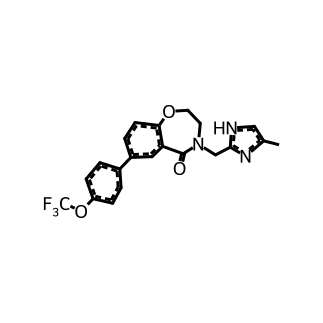 Cc1c[nH]c(CN2CCOc3ccc(-c4ccc(OC(F)(F)F)cc4)cc3C2=O)n1